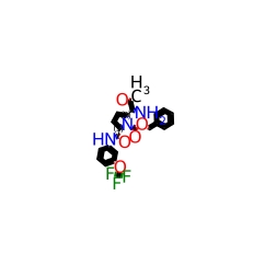 CC(=O)C(N)[C@H]1CC[C@@H](C(=O)Nc2cccc(OC(F)(F)F)c2)N1C(=O)OCc1ccccc1